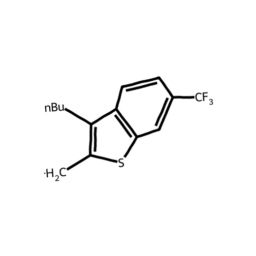 [CH2]c1sc2cc(C(F)(F)F)ccc2c1CCCC